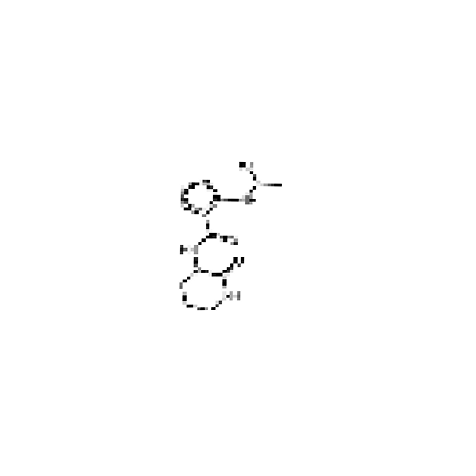 CC(O)Nc1ccsc1C(=O)NC1CCCNC1=O